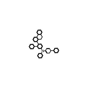 C1=CC(c2ccccc2)CC=C1N(c1ccccc1)c1ccc(-c2cccc3c2CCc2ccccc2-3)c(-c2ccccc2)c1